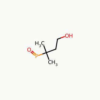 CC(C)(CCO)P=O